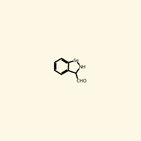 O=CC1N[Se]c2ccccc21